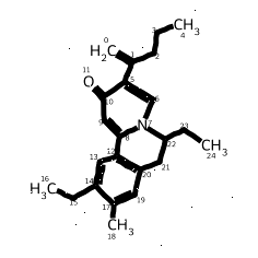 C=C(CCC)c1cn2c(cc1=O)-c1cc(CC)c(C)cc1CC2CC